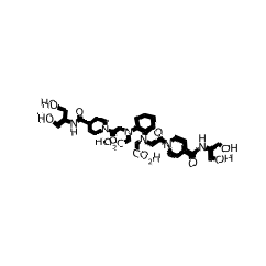 O=C(O)CN(CC(=O)N1CCC(C(=O)NC(CO)CO)CC1)C1CCCCC1N(CC(=O)O)CC(=O)N1CCC(C(=O)NC(CO)CO)CC1